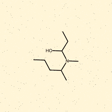 CCCC(C)N(C)C(O)CC